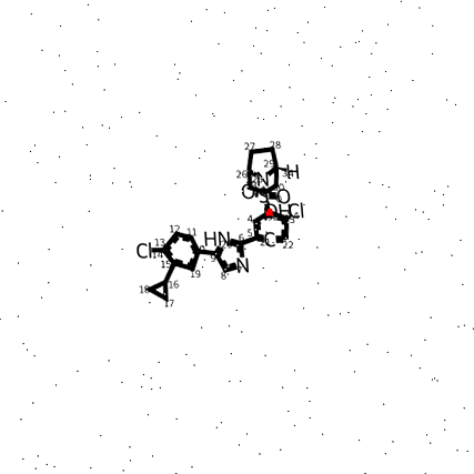 O=S(=O)(c1cc(-c2ncc(-c3ccc(Cl)c(C4CC4)c3)[nH]2)ccc1Cl)N1C2CC[C@@H]1C[C@H](O)C2